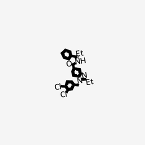 CCc1nc2cc(C(=O)N[C@@H](CC)c3ccccc3)ccc2n1Cc1ccc(Cl)c(Cl)c1